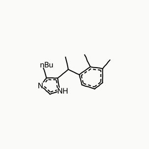 CCCCc1nc[nH]c1C(C)c1cccc(C)c1C